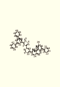 C=C/C(=C\C(=C/C)c1cccc(-c2ccc3ccc4c(-c5ccccc5)cc(C)nc4c3n2)c1)c1cc(-c2ccccc2)cc(-c2ccccc2)n1